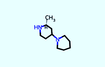 C[C@@H]1CC(N2CCCCC2)CCN1